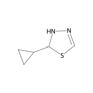 C1=NN[C](C2CC2)S1